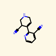 N#Cc1cccnc1C1=CCNCC1C#N